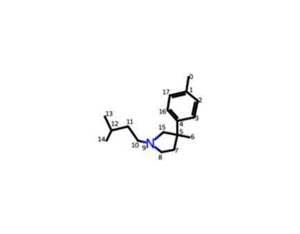 Cc1ccc(C2(C)CCN(CCC(C)C)C2)cc1